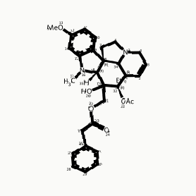 CC[C@]12C=CCN3CC[C@@]4(c5ccc(OC)cc5N(C)[C@H]4C(O)(COC(=O)Cc4ccccc4)[C@@H]1OC(C)=O)C32